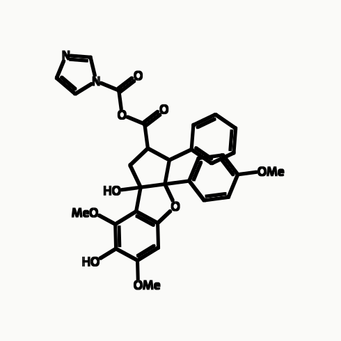 COc1ccc(C23Oc4cc(OC)c(O)c(OC)c4C2(O)CC(C(=O)OC(=O)n2ccnc2)C3c2ccccc2)cc1